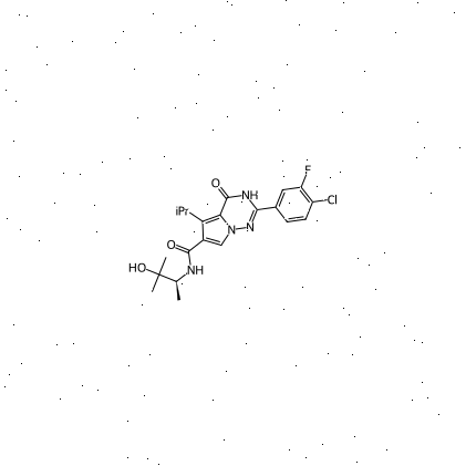 CC(C)c1c(C(=O)N[C@@H](C)C(C)(C)O)cn2nc(-c3ccc(Cl)c(F)c3)[nH]c(=O)c12